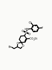 CCOC(=O)C1=CC2(CCC1S(=O)(=O)Nc1ccc(F)cc1Cl)OCC(CBr)O2